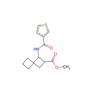 COC(=O)C1CC2(CCC2)C1NC(=O)c1ccsc1